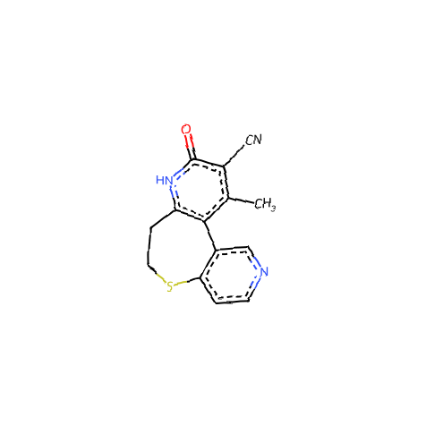 Cc1c2c([nH]c(=O)c1C#N)CCSc1ccncc1-2